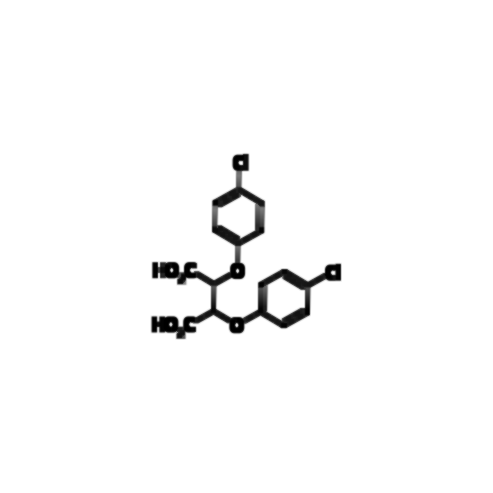 O=C(O)C(Oc1ccc(Cl)cc1)C(Oc1ccc(Cl)cc1)C(=O)O